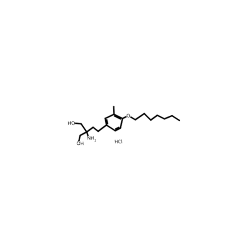 CCCCCCCOc1ccc(CCC(N)(CO)CO)cc1C.Cl